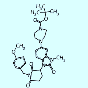 COc1ccc(CN2C(=O)CCC(n3c(=O)n(C)c4cc(N5CCN(C(=O)OC(C)(C)C)CC5)ccc43)C2=O)cc1